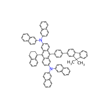 CC1(C)c2ccccc2-c2ccc(-c3ccc(-c4c5ccc(N(c6ccc7ccccc7c6)c6ccc7ccccc7c6)cc5c(C5=c6ccccc6=CCC5)c5ccc(N(c6ccc7ccccc7c6)c6ccc7ccccc7c6)cc45)cc3)cc21